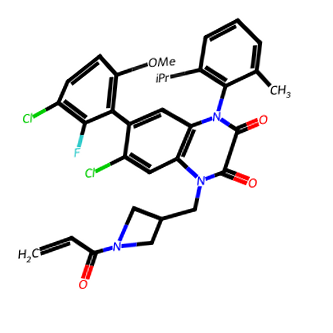 C=CC(=O)N1CC(Cn2c(=O)c(=O)n(-c3c(C)cccc3C(C)C)c3cc(-c4c(OC)ccc(Cl)c4F)c(Cl)cc32)C1